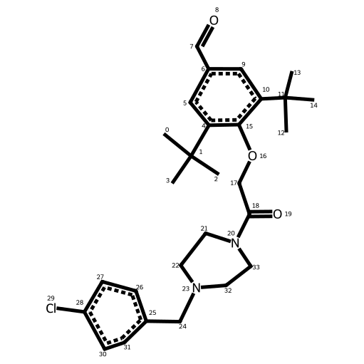 CC(C)(C)c1cc(C=O)cc(C(C)(C)C)c1OCC(=O)N1CCN(Cc2ccc(Cl)cc2)CC1